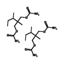 CCC(C)C(C)(COC(N)=O)COC(N)=O.CCC(C)C(C)(COC(N)=O)COC(N)=O